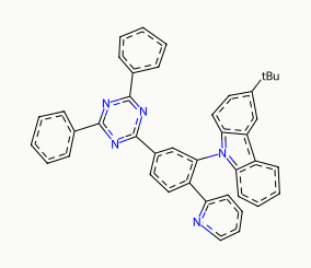 CC(C)(C)c1ccc2c(c1)c1ccccc1n2-c1cc(-c2nc(-c3ccccc3)nc(-c3ccccc3)n2)ccc1-c1ccccn1